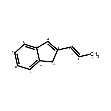 C/C=C/C1=Cc2ccccc2C1